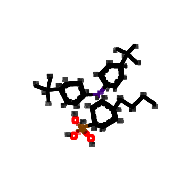 CC(C)(C)c1ccc([I+]c2ccc(C(C)(C)C)cc2)cc1.CCCCc1ccc(S(=O)(=O)[O-])cc1